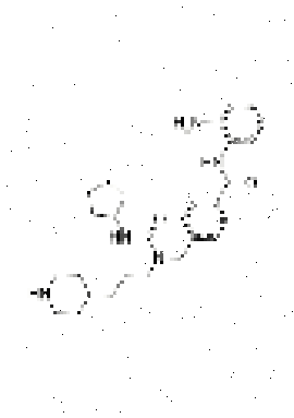 Nc1ccccc1NC(=O)c1ccc(CN(CCCC2CCNCC2)C(=O)NC2CCCC2)cc1